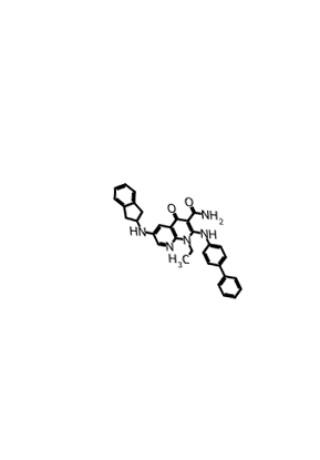 CCn1c(Nc2ccc(-c3ccccc3)cc2)c(C(N)=O)c(=O)c2cc(NC3Cc4ccccc4C3)cnc21